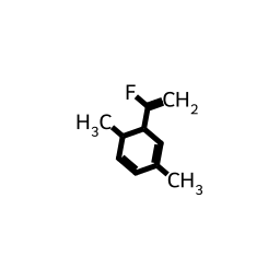 C=C(F)C1C=C(C)C=CC1C